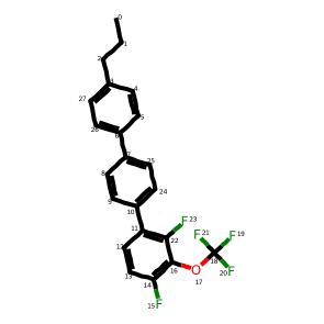 CCCc1ccc(-c2ccc(-c3ccc(F)c(OC(F)(F)F)c3F)cc2)cc1